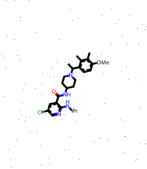 COc1ccc(C(C)N2CCC(NC(=O)c3cc(Cl)cnc3NC(C)C)CC2)c(C)c1C